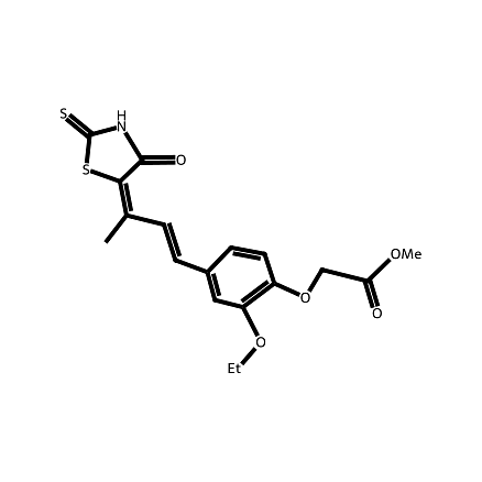 CCOc1cc(/C=C/C(C)=C2/SC(=S)NC2=O)ccc1OCC(=O)OC